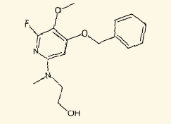 COc1c(OCc2ccccc2)cc(N(C)CCO)nc1F